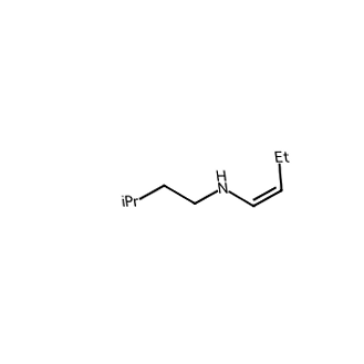 CC/C=C\NCCC(C)C